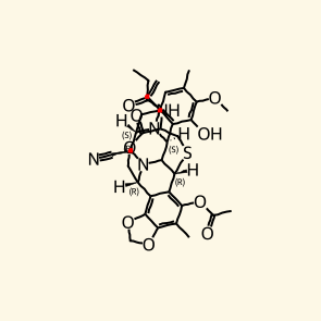 C=CCN1[C@H]2c3c(cc(C)c(OC)c3O)C[C@H]1[C@H](C#N)N1C2[C@@H]2SCC(NC(=O)CC)C(=O)OC[C@H]1c1c3c(c(C)c(OC(C)=O)c12)OCO3